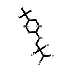 CC(C)(C)C1CNC(OCC(F)(F)C(F)F)CN1